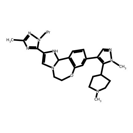 Cc1nc(C2=CN3CCOc4cc(-c5cnn(C)c5C5CCN(C)CC5)ccc4C3N2)n(C(C)C)n1